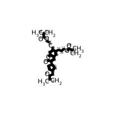 C=C(C)C(=O)Cc1ccc(-c2cc3cc(CCCOC(=O)C(=C)C)c(CCCCOC(=O)C(=C)C)cc3oc2=O)cc1